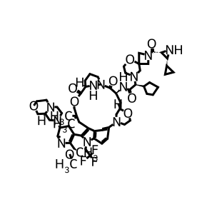 CO[C@@H](C)C1=C(c2c3c4cc(ccc4n2CC(F)(F)F)N2CCO[C@@H](C[C@H](NC(=O)[C@H](C4CCCC4)N4CCOC5(CN(C(=O)[C@@H]6N[C@@H]6C6CC6)C5)C4)C(=O)N4CCC[C@H](N4)C(=O)OCC(C)(C)C3)C2)CC(N2CCN3CCOC[C@@H]3C2)C=N1